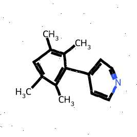 Cc1cc(C)c(C)c(-c2ccncc2)c1C